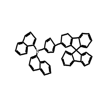 C1=C(c2ccc(N(c3cccc4ccccc34)c3cccc4ccccc34)cc2)CCC2=C1C1(c3ccccc32)c2ccccc2-c2ccccc21